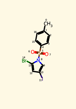 Cc1ccc(S(=O)(=O)n2cc(I)cc2Br)cc1